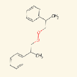 CC(COOCC(C)c1ccccc1)c1ccccc1